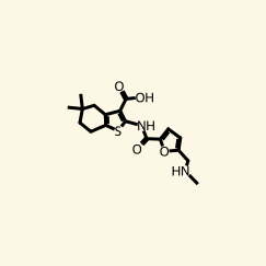 CNCc1ccc(C(=O)Nc2sc3c(c2C(=O)O)CC(C)(C)CC3)o1